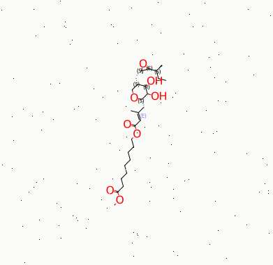 CC[C@H](C)[C@@H]1O[C@H]1C[C@H]1CO[C@@H](C/C(C)=C/C(=O)OCCCCCCCCC(=O)OC)C(O)[C@@H]1O